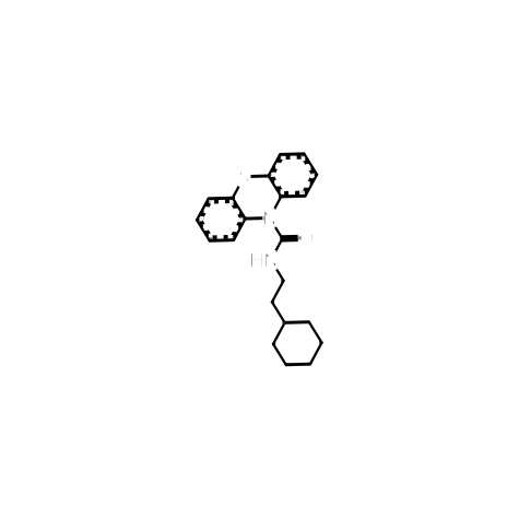 O=C(NCCC1CCCCC1)N1c2ccccc2Sc2ccccc21